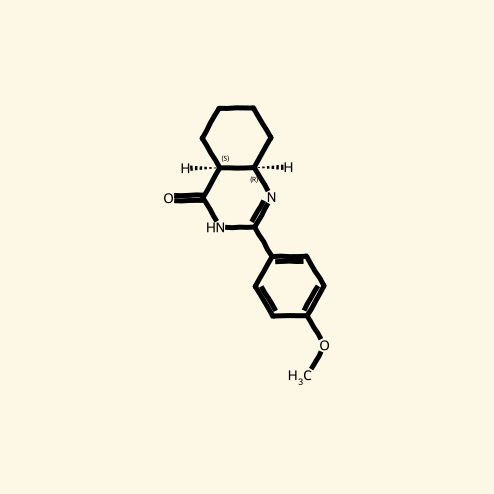 COc1ccc(C2=N[C@@H]3CCCC[C@@H]3C(=O)N2)cc1